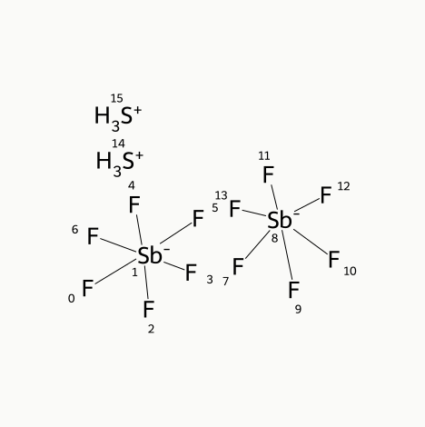 [F][Sb-]([F])([F])([F])([F])[F].[F][Sb-]([F])([F])([F])([F])[F].[SH3+].[SH3+]